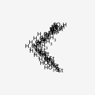 CCN(C)C.CCN(C)C.CCN(C)C.CCN(C)C.CCN(C)C.CCN(C)C.CCN(C)C.CCOS(=O)(=O)O.CCOS(=O)(=O)O.CCOS(=O)(=O)O.CCOS(=O)(=O)O.CCOS(=O)(=O)O